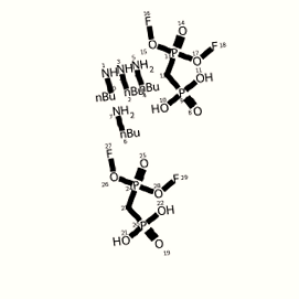 CCCCN.CCCCN.CCCCN.CCCCN.O=P(O)(O)CP(=O)(OF)OF.O=P(O)(O)CP(=O)(OF)OF